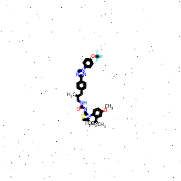 COc1ccc(-n2c(C)cs/c2=N\C(=O)NCC(C)Cc2ccc(-c3ncn(-c4ccc(OC(F)(F)F)cc4)n3)cc2)c(C(C)C)c1